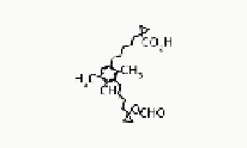 Cc1cc(CCCCCC2(C(=O)O)CC2)c(C)c(CCCCC2(OC=O)CC2)c1C